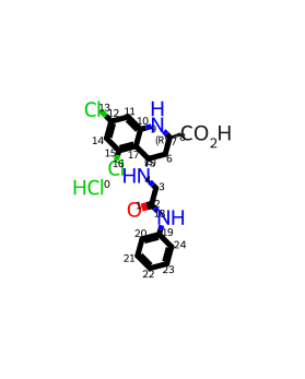 Cl.O=C(CN[C@H]1C[C@H](C(=O)O)Nc2cc(Cl)cc(Cl)c21)Nc1ccccc1